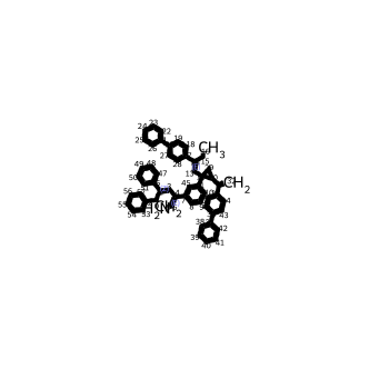 C=C(/C(=C\C(=C/N)c1cccc(C2(/C=C(\CC)c3ccc(-c4ccccc4)cc3)CC2C(=C)c2ccc(-c3ccccc3)cc2)c1)c1ccccc1)c1ccccc1